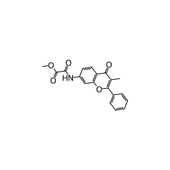 COC(=O)C(=O)Nc1ccc2c(=O)c(C)c(-c3ccccc3)oc2c1